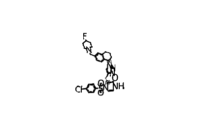 O=C1NC=CN(S(=O)(=O)c2ccc(Cl)cc2)[C@@H]1Cc1cn([C@@H]2CCCc3cc(CN4CCC(F)CC4)ccc32)nn1